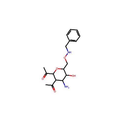 CC(=O)C1OC(CONCc2ccccc2)C(O)C(N)C1C(C)=O